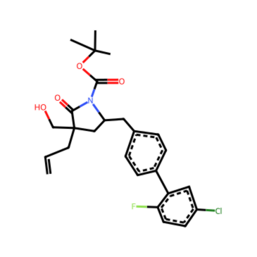 C=CCC1(CO)CC(Cc2ccc(-c3cc(Cl)ccc3F)cc2)N(C(=O)OC(C)(C)C)C1=O